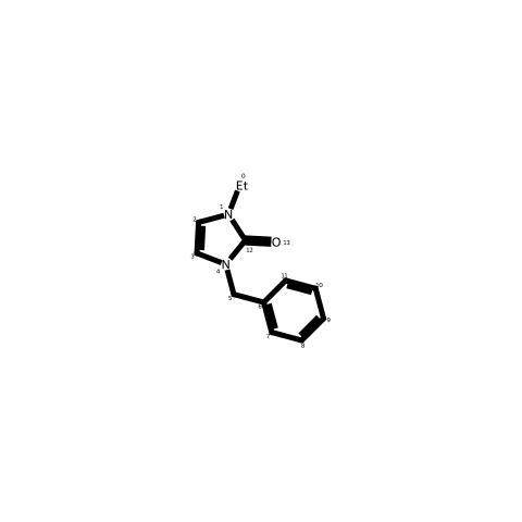 CCn1ccn(Cc2ccccc2)c1=O